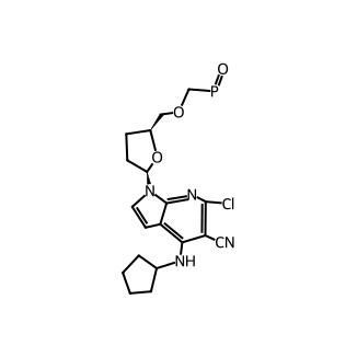 N#Cc1c(Cl)nc2c(ccn2[C@H]2CC[C@@H](COCP=O)O2)c1NC1CCCC1